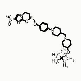 CC(C)(C)[Si](C)(C)OC1CCN(CC2CCN(c3ccc(OC[C@H]4CCn5cc([N+](=O)[O-])nc5O4)cc3)CC2)CC1